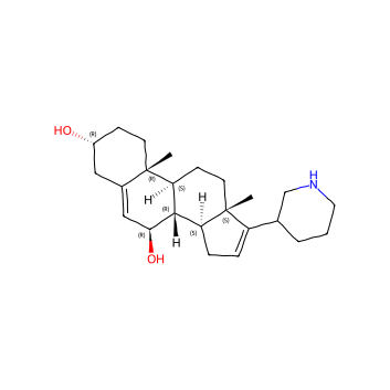 C[C@]12CC[C@@H](O)CC1=C[C@H](O)[C@@H]1[C@@H]2CC[C@]2(C)C(C3CCCNC3)=CC[C@@H]12